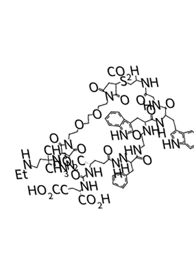 CCNCCC(C)(C)N1N=NC2C(=O)N(CCOCCOCCN3C(=O)CC(SCC(NC(=O)CNC(=O)C(Cc4c[nH]c5ccccc45)NC(=O)C(Cc4c[nH]c5ccccc45)NC(=O)CNC(=O)C(Cc4ccccc4)NNC(=O)CC[C@H](NC(=O)N[C@@H](CCC(=O)O)C(=O)O)C(=O)O)C(=O)O)C3=O)C(=O)C21